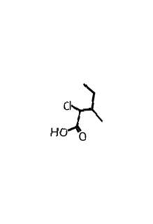 CCC(C)C(Cl)C(=O)O